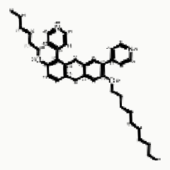 CCCCCCCCCCOc1cc2c(cc1-c1ccncc1)Cc1c(ccc(OCCCCCC)c1-c1ccncc1)C2